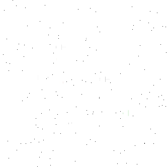 COc1cc(C)c(C(CC2(c3ccccc3)CCCC[Se]2)c2ccc(Cl)cc2)c(OC)c1OC